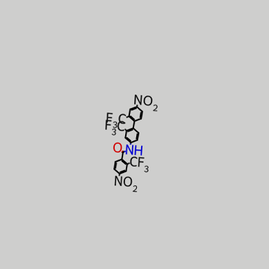 O=C(Nc1ccc(-c2ccc([N+](=O)[O-])cc2C(F)(F)F)c(C(F)(F)F)c1)c1ccc([N+](=O)[O-])cc1C(F)(F)F